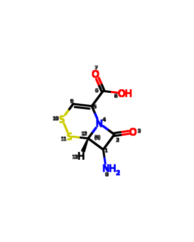 NC1C(=O)N2C(C(=O)O)=CSS[C@@H]12